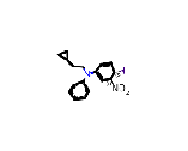 O=[N+]([O-])[C@H]1C=C(N(CCC2CC2)c2ccccc2)C=C[C@@H]1I